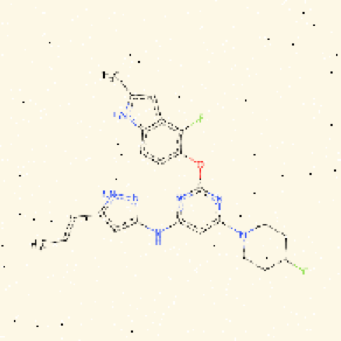 C/C=C/c1cc(Nc2cc(N3CCC(F)CC3)nc(Oc3ccc4[nH]c(C)cc4c3F)n2)n[nH]1